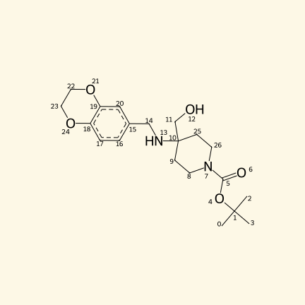 CC(C)(C)OC(=O)N1CCC(CO)(NCc2ccc3c(c2)OCCO3)CC1